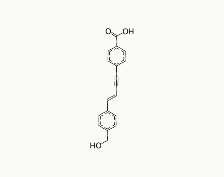 O=C(O)c1ccc(C#C/C=C/c2ccc(CO)cc2)cc1